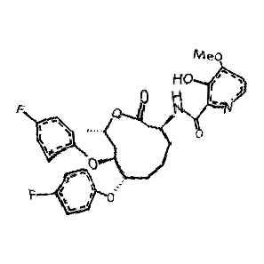 COc1ccnc(C(=O)N[C@H]2CCC[C@H](Oc3ccc(F)cc3)[C@@H](Oc3ccc(F)cc3)[C@H](C)OC2=O)c1O